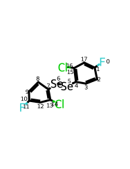 Fc1ccc([Se][Se]c2ccc(F)cc2Cl)c(Cl)c1